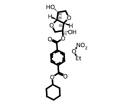 CCO[N+](=O)[O-].O=C(OC1CCCCC1)c1ccc(C(=O)O[C@@]2(O)CO[C@@H]3[C@H](O)CO[C@@H]32)cc1